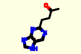 CC(=O)CCc1ncc2[nH]cnc2n1